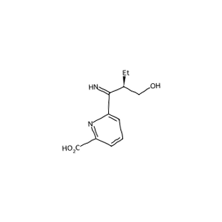 CC[C@@H](CO)C(=N)c1cccc(C(=O)O)n1